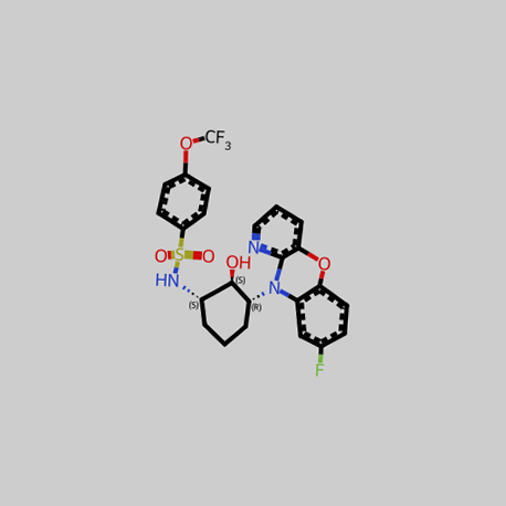 O=S(=O)(N[C@H]1CCC[C@@H](N2c3cc(F)ccc3Oc3cccnc32)[C@@H]1O)c1ccc(OC(F)(F)F)cc1